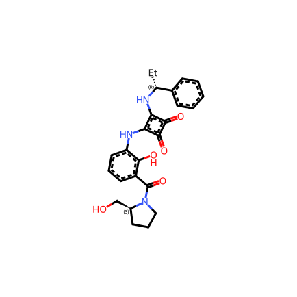 CC[C@@H](Nc1c(Nc2cccc(C(=O)N3CCC[C@H]3CO)c2O)c(=O)c1=O)c1ccccc1